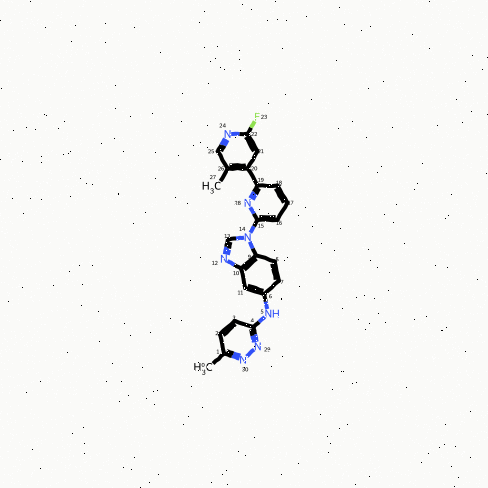 Cc1ccc(Nc2ccc3c(c2)ncn3-c2cc[c]c(-c3cc(F)ncc3C)n2)nn1